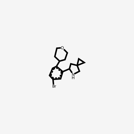 Brc1ccc(C2CCOCC2)c(C2CC3(CC3)CN2)c1